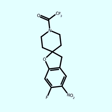 O=C(N1CCC2(CC1)Cc1cc([N+](=O)[O-])c(F)cc1O2)C(F)(F)F